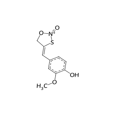 COc1cc(C=C2CO[N+](=O)S2)ccc1O